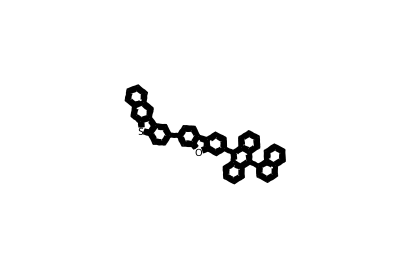 c1ccc2cc3c(cc2c1)sc1ccc(-c2ccc4c(c2)oc2cc(-c5c6ccccc6c(-c6cccc7ccccc67)c6ccccc56)ccc24)cc13